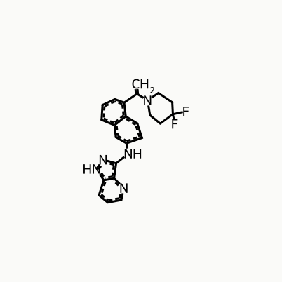 C=C(c1cccc2cc(Nc3n[nH]c4cccnc34)ccc12)N1CCC(F)(F)CC1